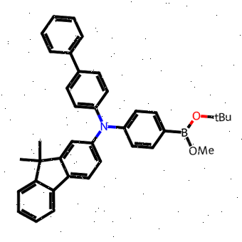 COB(OC(C)(C)C)c1ccc(N(c2ccc(-c3ccccc3)cc2)c2ccc3c(c2)C(C)(C)c2ccccc2-3)cc1